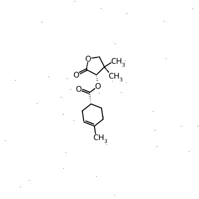 CC1=CC[C@H](C(=O)O[C@@H]2C(=O)OCC2(C)C)CC1